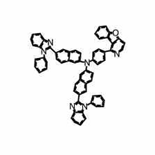 c1ccc(-n2c(-c3ccc4cc(N(c5ccc(-c6nccc7oc8ccccc8c67)cc5)c5ccc6cc(-c7nc8ccccc8n7-c7ccccc7)ccc6c5)ccc4c3)nc3ccccc32)cc1